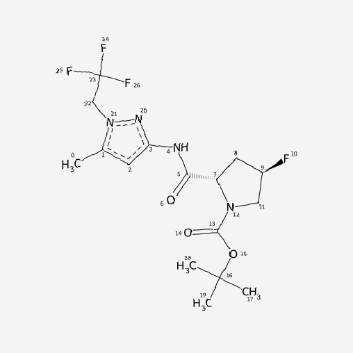 Cc1cc(NC(=O)[C@@H]2C[C@@H](F)CN2C(=O)OC(C)(C)C)nn1CC(F)(F)F